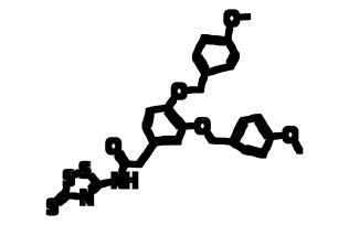 COc1ccc(COc2ccc(CC(=O)Nc3nc(=S)ss3)cc2OCc2ccc(OC)cc2)cc1